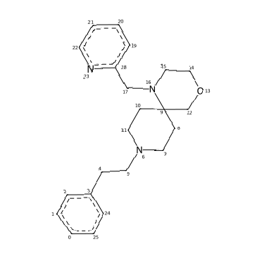 c1ccc(CCN2CCC3(CC2)COCCN3Cc2ccccn2)cc1